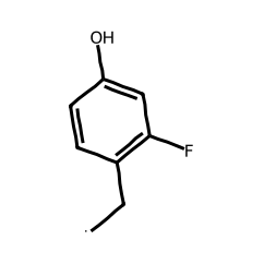 [CH2]Cc1ccc(O)cc1F